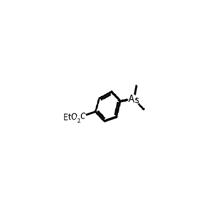 CCOC(=O)c1ccc([As](C)C)cc1